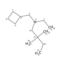 CCN(CC1CCC1)CC(C)(C)CC